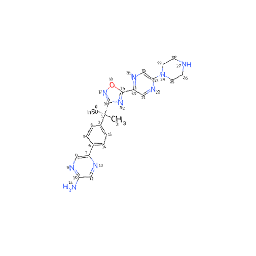 CCCC[C@](C)(c1ccc(-c2cnc(N)cn2)cc1)c1noc(-c2cnc(N3CCNCC3)cn2)n1